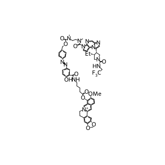 CC[C@@H]1CN(C(=O)NCC(F)(F)F)C[C@@H]1c1cnc2cnc3c(ccn3C(=O)N(C)CCN(C)C(=O)OCc3ccc(/N=N/c4ccc(O)c(C(=O)NCCCCC(=O)Oc5c(OC)ccc6cc7[n+](cc56)CCc5cc6c(cc5-7)OCO6)c4)cc3)n12